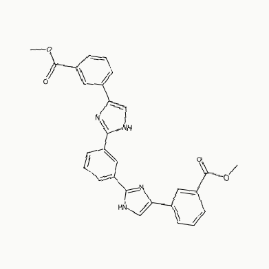 COC(=O)c1cccc(-c2c[nH]c(-c3cccc(-c4nc(-c5cccc(C(=O)OC)c5)c[nH]4)c3)n2)c1